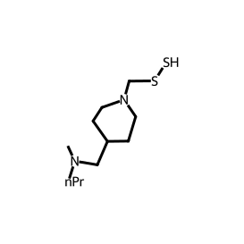 CCCN(C)CC1CCN(CSS)CC1